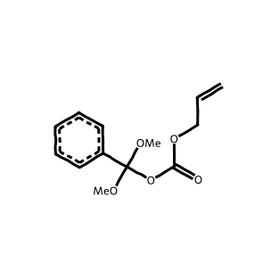 C=CCOC(=O)OC(OC)(OC)c1ccccc1